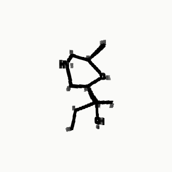 CCC(C)(O)[C@H]1CNC[C@@H](C)O1